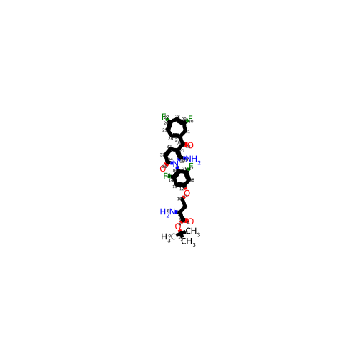 CC(C)(C)OC(=O)C(N)CCOc1cc(F)c(-n2c(N)c(C(=O)C3=CC=C(F)C=C(F)C3)ccc2=O)c(F)c1